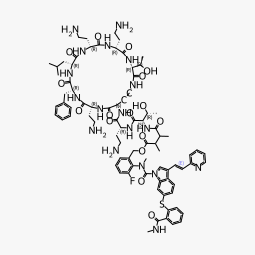 CNC(=O)c1ccccc1Sc1ccc2c(/C=C/c3ccccn3)cn(C(=O)N(C)c3c(F)cccc3COC(=O)C(C)C(C)C(=O)N[C@H](C(=O)N[C@H](CCN)C(=O)N[C@H]3CCNC(=O)[C@@H]([C@@H](C)O)NC(=O)[C@@H](CCN)NC(=O)[C@@H](CCN)NC(=O)[C@@H](CC(C)C)NC(=O)[C@@H](Cc4ccccc4)NC(=O)[C@@H](CCN)NC3=O)[C@@H](C)O)c2c1